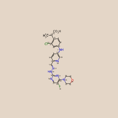 CC(C(=O)O)c1ccc(Nc2ccc(/C=N/Nc3ncc(F)c(N4CCOCC4)n3)nc2)cc1Cl